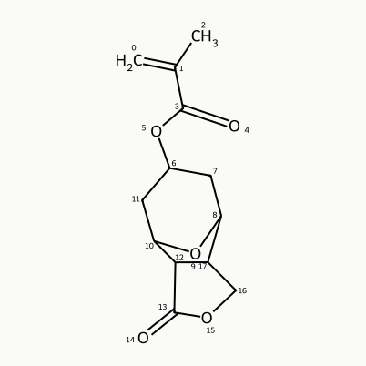 C=C(C)C(=O)OC1CC2OC(C1)C1C(=O)OCC21